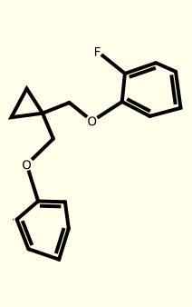 Fc1ccccc1OCC1(COc2[c]cccc2)CC1